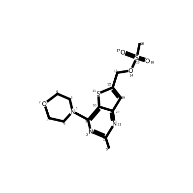 Cc1nc(N2CCOCC2)c2sc(COS(C)(=O)=O)cc2n1